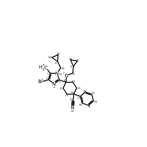 Cc1c(Br)nc(C2(OCC3CC3)CCC(C#N)(c3ccccc3)CC2)n1CC1CC1